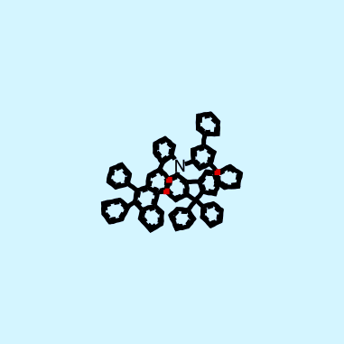 c1ccc(-c2cc(-c3ccccc3)cc(N(c3ccccc3-c3ccc4c(c3)c(-c3ccccc3)c(-c3ccccc3)c3ccccc34)c3cccc4c3-c3ccccc3C4(c3ccccc3)c3ccccc3)c2)cc1